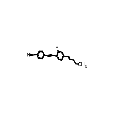 CCCC=Cc1ccc(C#Cc2ccc(C#N)cc2)c(F)c1